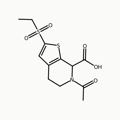 CCS(=O)(=O)c1cc2c(s1)C(C(=O)O)N(C(C)=O)CC2